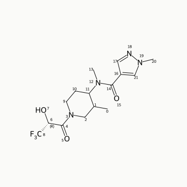 CC1CN(C(=O)[C@@H](O)C(F)(F)F)CCC1N(C)C(=O)c1cnn(C)c1